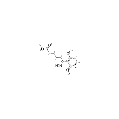 COC(=O)CCCCC(N)c1c(OC)cccc1OC